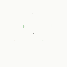 CC(=O)C(F)C(F)(F)C(=S)Cl